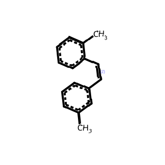 Cc1cccc(/C=C\c2ccccc2C)c1